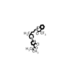 CN(C)C(=O)c1ccc(N2CCC(C)(CCCN(C)C(=O)C(c3ccccc3)C(F)(F)F)CC2)nc1Cl